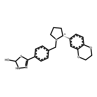 OC1NN=C(c2ccc(CN3CCC[C@@H]3c3ccc4c(c3)OCCO4)cc2)S1